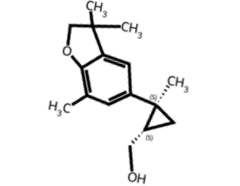 Cc1cc([C@@]2(C)C[C@@H]2CO)cc2c1OCC2(C)C